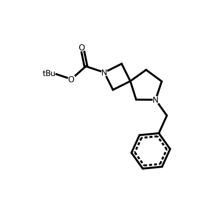 CC(C)(C)OC(=O)N1CC2(CCN(Cc3ccccc3)C2)C1